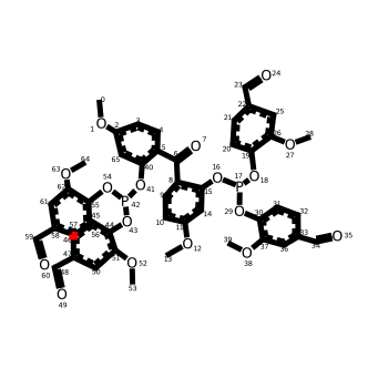 COc1ccc(C(=O)c2ccc(OC)cc2OP(Oc2ccc(C=O)cc2OC)Oc2ccc(C=O)cc2OC)c(OP(Oc2ccc(C=O)cc2OC)Oc2ccc(C=O)cc2OC)c1